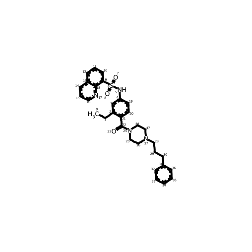 CCc1cc(NS(=O)(=O)c2cccc3cccnc23)ccc1C(=O)N1CCN(CCCc2ccccc2)CC1